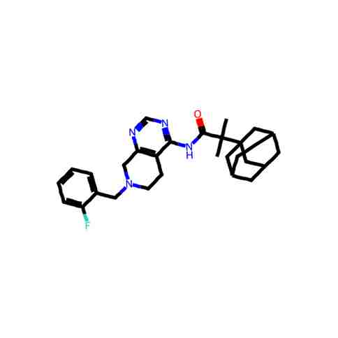 CC(C)(C(=O)Nc1ncnc2c1CCN(Cc1ccccc1F)C2)C12CC3CC(CC(C3)C1)C2